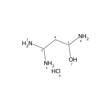 Cl.NC(N)CC(N)O